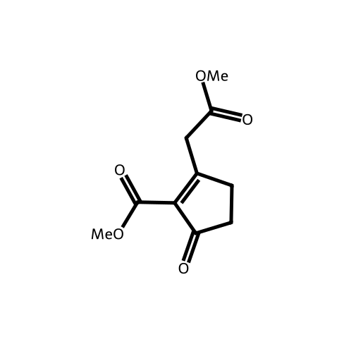 COC(=O)CC1=C(C(=O)OC)C(=O)CC1